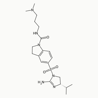 CC(C)[C@H]1CN(S(=O)(=O)c2ccc3c(c2)CCN3C(=O)NCCCN(C)C)C(N)=N1